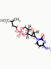 CCOC(=O)C(C)CCOP1(=O)OC[C@@H]2O[C@H]3C(C3n3ccc(N)nc3=O)[C@H]2O1